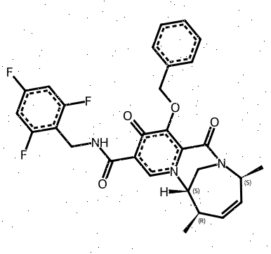 C[C@@H]1C=C[C@H](C)N2C[C@H]1n1cc(C(=O)NCc3c(F)cc(F)cc3F)c(=O)c(OCc3ccccc3)c1C2=O